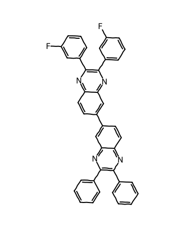 Fc1cccc(-c2nc3ccc(-c4ccc5nc(-c6ccccc6)c(-c6ccccc6)nc5c4)cc3nc2-c2cccc(F)c2)c1